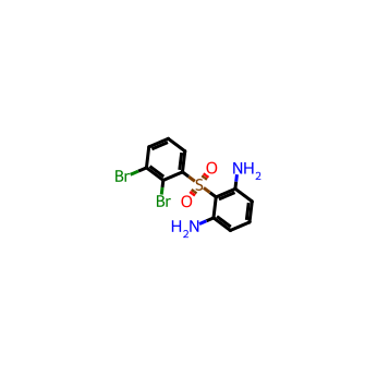 Nc1cccc(N)c1S(=O)(=O)c1cccc(Br)c1Br